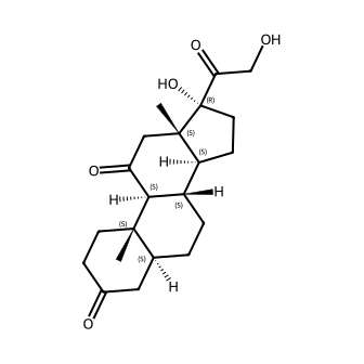 C[C@]12CCC(=O)C[C@@H]1CC[C@@H]1[C@@H]2C(=O)C[C@@]2(C)[C@H]1CC[C@]2(O)C(=O)CO